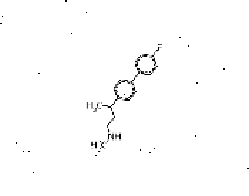 CNCCC(C)c1ccc(-c2ccc(F)cc2)cc1